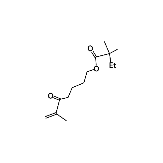 C=C(C)C(=O)CCCCOC(=O)C(C)(C)CC